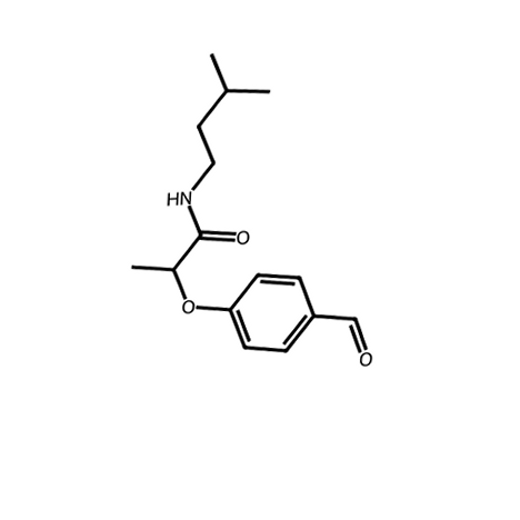 CC(C)CCNC(=O)C(C)Oc1ccc(C=O)cc1